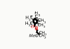 COC(C)(C)C[CH]OOC(=O)c1c(C)c(C)c(C)c(C)c1C